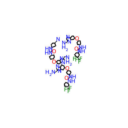 N#Cc1ccc(NC(=O)Nc2ccc(Oc3ccc4ncc(CN)nc4c3)cc2)cc1.NCc1cnc2ccc(Oc3ccc(NC(=O)Nc4ccc(F)c(C(F)(F)F)c4)cc3)cc2n1.NCc1cnc2ccc(Oc3ccc(NC(=O)Nc4cccc(C(F)(F)F)c4)cc3)cc2n1